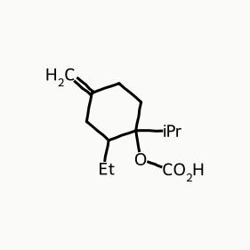 C=C1CCC(OC(=O)O)(C(C)C)C(CC)C1